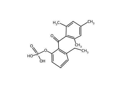 CCc1cccc(OP(=O)(O)O)c1C(=O)c1c(C)cc(C)cc1C